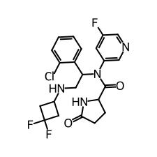 O=C1CCC(C(=O)N(c2cncc(F)c2)C(CNC2CC(F)(F)C2)c2ccccc2Cl)N1